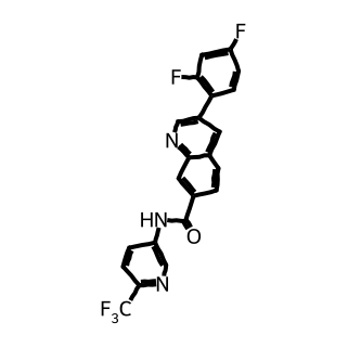 O=C(Nc1ccc(C(F)(F)F)nc1)c1ccc2cc(-c3ccc(F)cc3F)cnc2c1